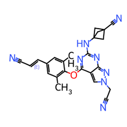 Cc1cc(/C=C/C#N)cc(C)c1Oc1nc(NC23CC(C#N)(C2)C3)nc2nn(CC#N)cc12